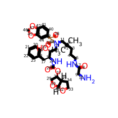 CC(C)(CCCNC(=O)CN)CN(C[C@@H](O)[C@H](Cc1ccccc1)NC(=O)O[C@@H]1CO[C@H]2OCC[C@H]21)S(=O)(=O)c1ccc2c(c1)OCO2